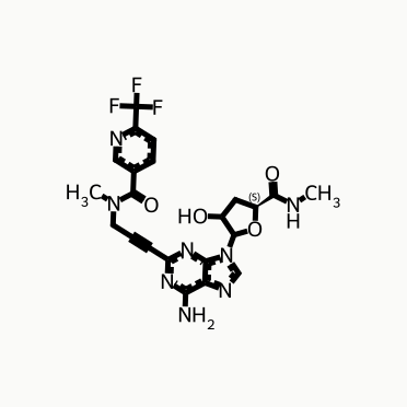 CNC(=O)[C@@H]1CC(O)C(n2cnc3c(N)nc(C#CCN(C)C(=O)c4ccc(C(F)(F)F)nc4)nc32)O1